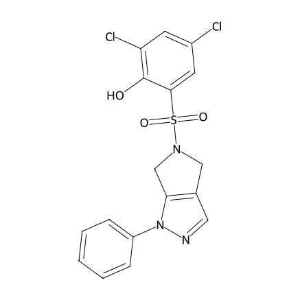 O=S(=O)(c1cc(Cl)cc(Cl)c1O)N1Cc2cnn(-c3ccccc3)c2C1